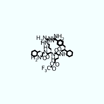 N=C(N)NCCC[C@H](NC(=O)[C@H](CCC(=O)OC(=O)C(F)(F)F)NC(=O)[C@@H](Cc1ccc(C(=N)N)cc1)C1CCCCC1)C(=O)N[C@@H](CC1CCCCC1)C(N)=O